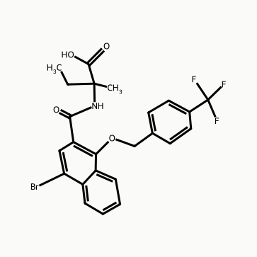 CCC(C)(NC(=O)c1cc(Br)c2ccccc2c1OCc1ccc(C(F)(F)F)cc1)C(=O)O